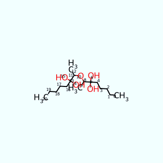 CCCCCC(O)(O)C(C)OC(C)C(O)(O)CCCCC